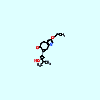 CCCOc1cnc2c(c1)CCC(=O)C1C(C2)C1[C@H]1C[C@](O)(C(C)C)C1